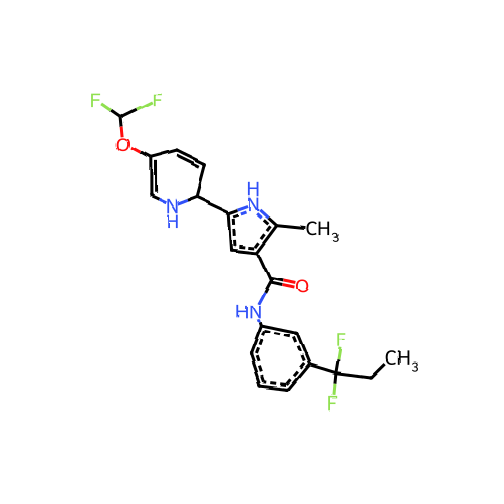 CCC(F)(F)c1cccc(NC(=O)c2cc(C3C=CC(OC(F)F)=CN3)[nH]c2C)c1